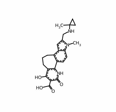 Cn1c(CNC2(C)CC2)cc2c3c(ccc21)-c1[nH]c(=O)c(C(=O)O)c(O)c1CCC3